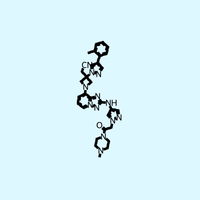 Cc1ccccc1-c1cnn(C2(CC#N)CN(c3cccn4nc(Nc5cnn(CC(=O)N6CCN(C)CC6)c5)nc34)C2)c1